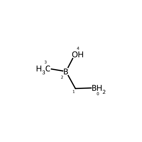 BCB(C)O